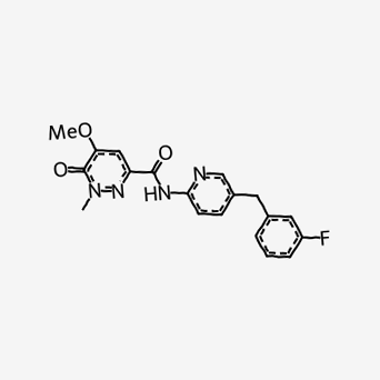 COc1cc(C(=O)Nc2ccc(Cc3cccc(F)c3)cn2)nn(C)c1=O